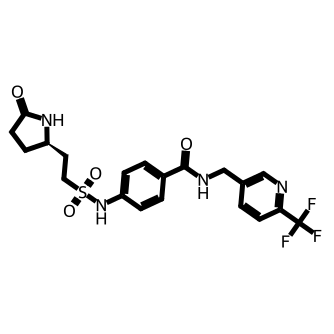 O=C1CC[C@H](CCS(=O)(=O)Nc2ccc(C(=O)NCc3ccc(C(F)(F)F)nc3)cc2)N1